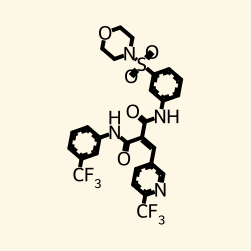 O=C(Nc1cccc(C(F)(F)F)c1)/C(=C\c1ccc(C(F)(F)F)nc1)C(=O)Nc1cccc(S(=O)(=O)N2CCOCC2)c1